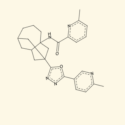 Cc1ccc(-c2nnc(C34CC5CCCC(NC(=O)c6cccc(C)n6)(C3)C(C5)C4)o2)cn1